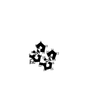 CC1CCC[P+]1(C)[c-]1cccc1.CC1CCC[P+]1(C)[c-]1cccc1.[Fe+2]